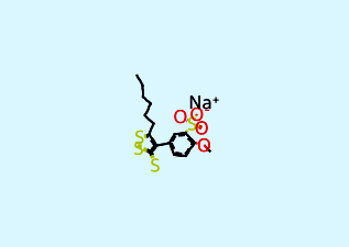 CCCCCCc1ssc(=S)c1-c1ccc(OC)c(S(=O)(=O)[O-])c1.[Na+]